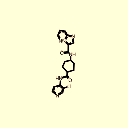 O=C(NC1CCC(C(=O)Nc2ccncc2Cl)CC1)c1cnc2cccnn12